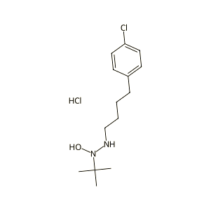 CC(C)(C)N(O)NCCCCc1ccc(Cl)cc1.Cl